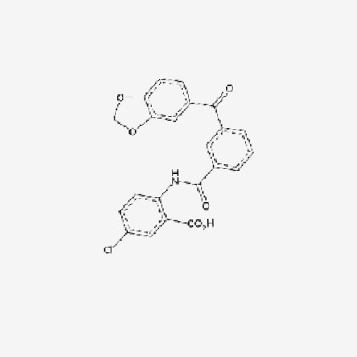 O=C(Nc1ccc(Cl)cc1C(=O)O)c1cccc(C(=O)c2ccc3c(c2)OCO3)c1